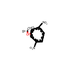 O=CO.O=[N+]([O-])c1ccc([N+](=O)[O-])cc1.[Zn]